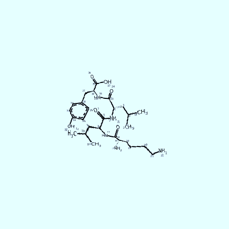 CC(C)C[C@H](NC(=O)[C@H](CC(C)C)NC(=O)[C@@H](N)CCCCN)C(=O)N[C@@H](Cc1ccc(O)cc1)C(=O)O